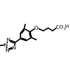 Cc1cc(-c2nnn(C)n2)cc(C)c1OCCCC(=O)O